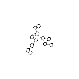 c1ccc(-c2ccccc2-c2ccccc2-c2ccc(N(c3ccc(-c4ccc(-c5cccc6ccccc56)cc4)cc3)c3ccc(-c4cccc5ccccc45)c4oc5ccccc5c34)cc2)cc1